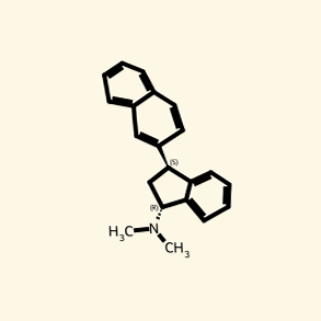 CN(C)[C@@H]1C[C@@H](c2ccc3ccccc3c2)c2ccccc21